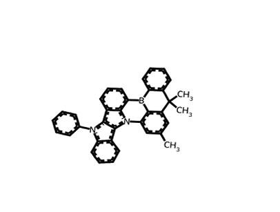 Cc1cc2c3c(c1)C(C)(C)c1ccccc1B3c1cccc3c1n-2c1c2ccccc2n(-c2ccccc2)c31